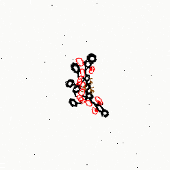 O=C1C(=CC2=Cc3sc4c(sc5c6c(sc54)C=C(C=C4C(=O)c5ccccc5C4=O)C6(C(=O)OCc4ccccc4)C(=O)OCc4ccccc4)c3C2(C(=O)OCc2ccccc2)C(=O)OCc2ccccc2)C(=O)c2ccccc21